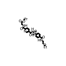 CCOCCNC(=O)c1ccc(S(=O)(=O)NC(=O)c2ccc(C(=O)NCC(=O)OC(C)C)nc2)cc1